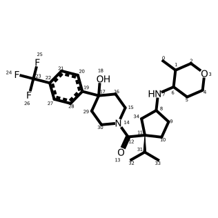 CC1COCCC1NC1CC[C@@](C(=O)N2CCC(O)(c3ccc(C(F)(F)F)cc3)CC2)(C(C)C)C1